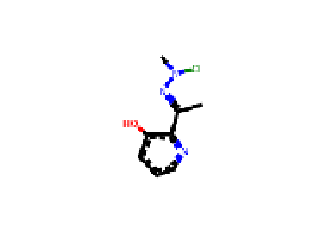 CC(=NN(C)Cl)c1ncccc1O